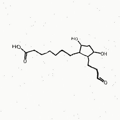 O=CCCC1C(O)CC(O)C1CCCCCCC(=O)O